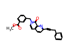 COC(=O)c1cccc(Cn2ccc3ccc(C#CCc4ccccc4)nc3c2=O)c1